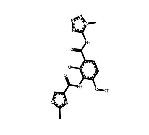 Cc1nc(C(=O)Nc2c(OC(F)(F)F)ccc(C(=O)Nc3nnnn3C)c2Cl)cs1